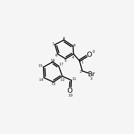 O=C(CBr)c1ccccc1.O=Cc1ccccc1